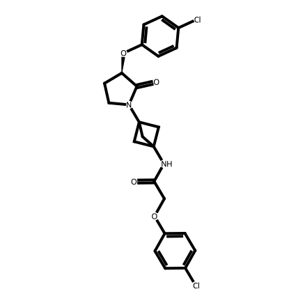 O=C(COc1ccc(Cl)cc1)NC12CC(N3CC[C@@H](Oc4ccc(Cl)cc4)C3=O)(C1)C2